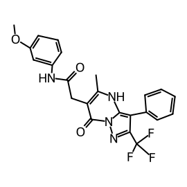 COc1cccc(NC(=O)Cc2c(C)[nH]c3c(-c4ccccc4)c(C(F)(F)F)nn3c2=O)c1